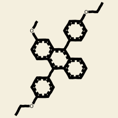 CCOc1ccc(-c2c3ccccc3c(-c3ccc(OCC)cc3)c3cc(OC)ccc23)cc1